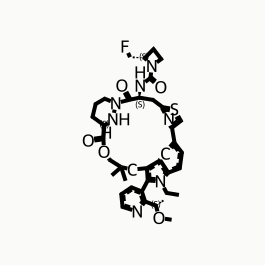 CCn1c(-c2cccnc2[C@H](C)OC)c2c3cc(ccc31)-c1csc(n1)C[C@H](NC(=O)N1CC[C@H]1CF)C(=O)N1CCC[C@H](N1)C(=O)OCC(C)(C)C2